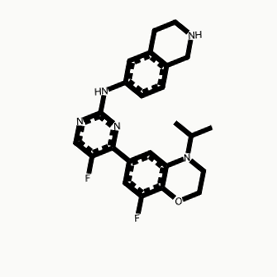 CC(C)N1CCOc2c(F)cc(-c3nc(Nc4ccc5c(c4)CCNC5)ncc3F)cc21